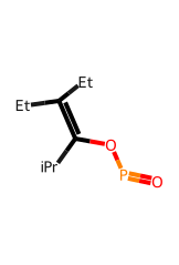 CCC(CC)=C(OP=O)C(C)C